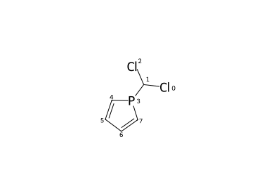 ClC(Cl)p1cccc1